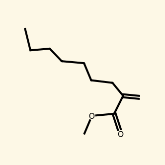 C=C(CCCCCCC)C(=O)OC